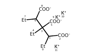 CCC(C(=O)[O-])C(CC)(C(=O)[O-])C(CC)C(=O)[O-].[K+].[K+].[K+]